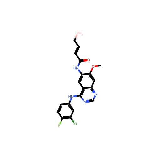 BC/C=C/C(=O)Nc1cc2c(Nc3ccc(F)c(Cl)c3)ncnc2cc1OC